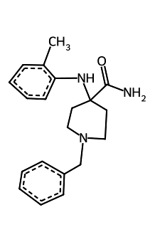 Cc1ccccc1NC1(C(N)=O)CCN(Cc2ccccc2)CC1